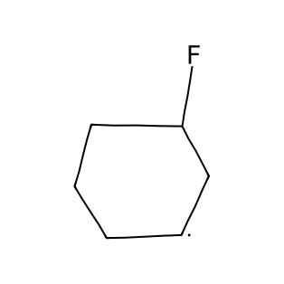 FC1C[CH]CCC1